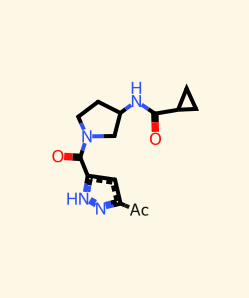 CC(=O)c1cc(C(=O)N2CCC(NC(=O)C3CC3)C2)[nH]n1